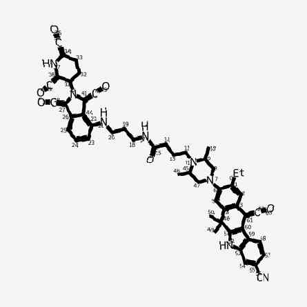 CCc1cc2c(cc1N1CC(C)N(CCCC(=O)NCCCNc3cccc4c(=C=O)n(C5CCC(=C=O)NC5=C=O)c(=C=O)c34)C(C)C1)C(C)(C)c1[nH]c3cc(C#N)ccc3c1C2=C=O